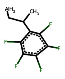 CC([CH2][AlH2])c1c(F)c(F)c(F)c(F)c1F